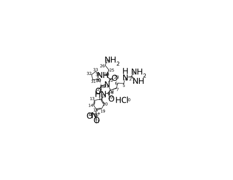 Cl.N=C(N)NCCC[C@@H](C(=O)Nc1ccc([N+](=O)[O-])cc1)N(C(=O)CCCN)C(=O)[C@@H]1CCCN1